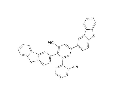 N#Cc1ccccc1-c1cc(-c2ccc3sc4ccccc4c3c2)cc(C#N)c1-c1ccc2sc3ccccc3c2c1